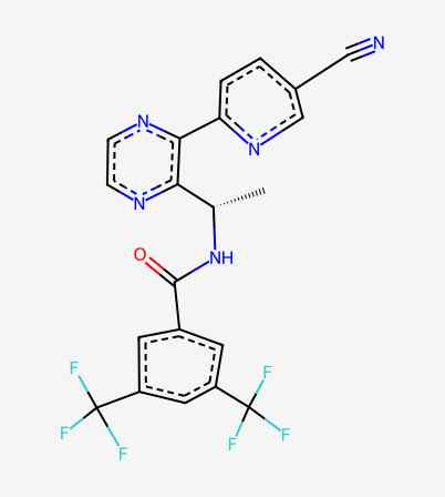 C[C@H](NC(=O)c1cc(C(F)(F)F)cc(C(F)(F)F)c1)c1nccnc1-c1ccc(C#N)cn1